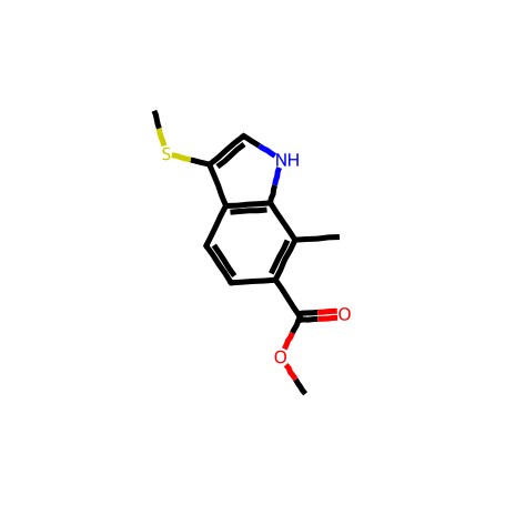 COC(=O)c1ccc2c(SC)c[nH]c2c1C